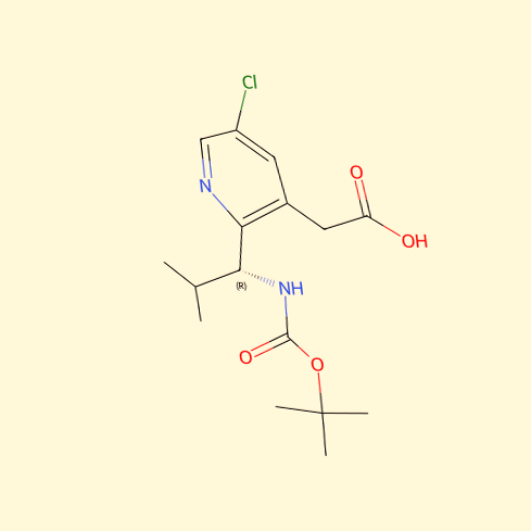 CC(C)[C@@H](NC(=O)OC(C)(C)C)c1ncc(Cl)cc1CC(=O)O